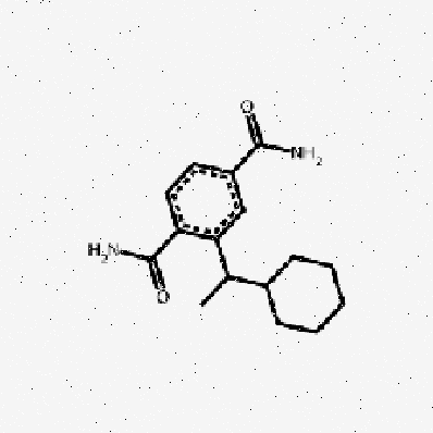 CC(c1cc(C(N)=O)ccc1C(N)=O)C1CCCCC1